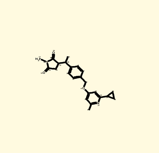 Cc1cc(OCc2ccc(C(C)C3CC(=O)N(P)C3=O)cc2)cc(C2CC2)n1